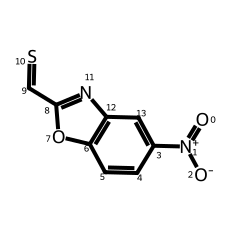 O=[N+]([O-])c1ccc2oc(C=S)nc2c1